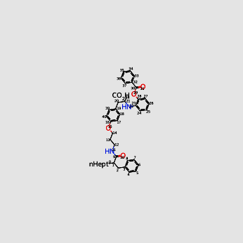 CCCCCCCC(Cc1ccccc1)C(=O)NCCCOc1ccc(CC(Nc2ccccc2OC(=O)c2ccccc2)C(=O)O)cc1